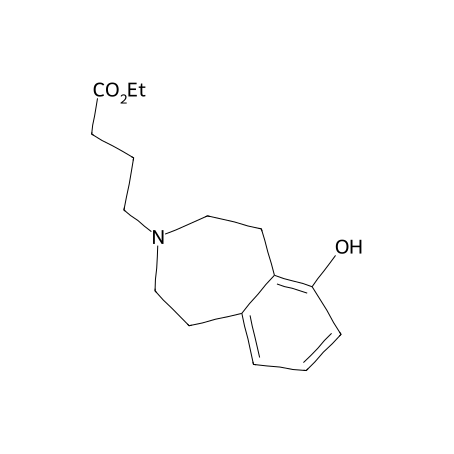 CCOC(=O)CCCN1CCc2cccc(O)c2CC1